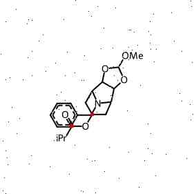 COC1OC2C(O1)C1CC(OC(=O)C(C)C)CC2N1Cc1ccccc1